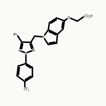 CC(C)c1nn(-c2ccc(C(F)(F)F)cc2)nc1Cn1ccc2cc(OCC(=O)O)ccc21